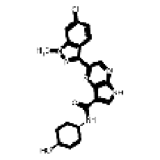 Cn1nc(-c2cnc3[nH]cc(C(=O)N[C@H]4CC[C@H](O)CC4)c3n2)c2ccc(Cl)cc21